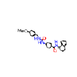 COc1ccc(CNC(=O)NC2CCC(C(=O)N[C@H]3CCCc4ccccc43)CC2)cc1